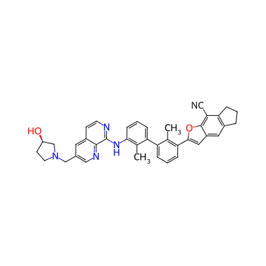 Cc1c(Nc2nccc3cc(CN4CC[C@@H](O)C4)cnc23)cccc1-c1cccc(-c2cc3cc4c(c(C#N)c3o2)CCC4)c1C